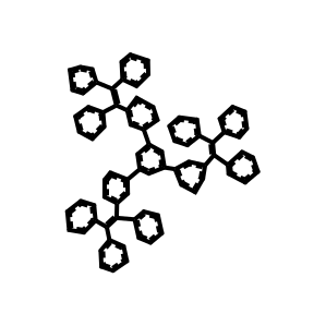 c1ccc(C(=C(c2ccccc2)c2cccc(-c3cc(-c4cccc(C(=C(c5ccccc5)c5ccccc5)c5ccccc5)c4)cc(-c4cccc(C(=C(c5ccccc5)c5ccccc5)c5ccccc5)c4)c3)c2)c2ccccc2)cc1